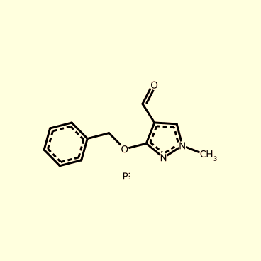 Cn1cc(C=O)c(OCc2ccccc2)n1.[P]